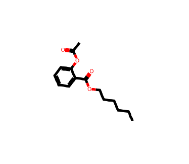 [CH2]CCCCCOC(=O)c1ccccc1OC(C)=O